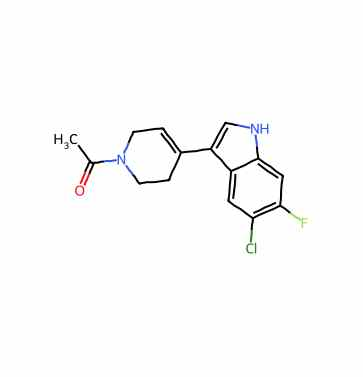 CC(=O)N1CC=C(c2c[nH]c3cc(F)c(Cl)cc23)CC1